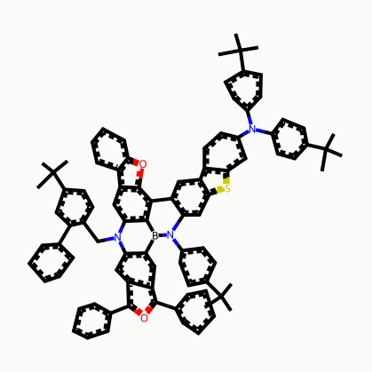 CC(C)(C)c1ccc(N2B3c4cc5c(-c6ccccc6)oc(-c6ccccc6)c5cc4N(Cc4ccc(C(C)(C)C)cc4-c4ccccc4)c4cc5c(oc6ccccc65)c(c43)-c3cc4c(cc32)sc2cc(N(c3ccc(C(C)(C)C)cc3)c3ccc(C(C)(C)C)cc3)ccc24)cc1